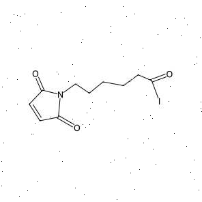 O=C(I)CCCCCN1C(=O)C=CC1=O